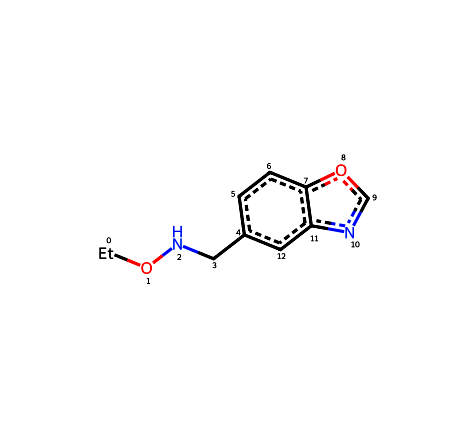 CCONCc1ccc2ocnc2c1